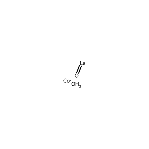 O.[Co].[O]=[La]